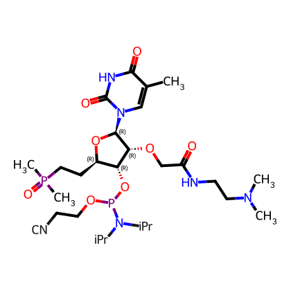 [C-]#[N+]CCOP(O[C@H]1[C@@H](OCC(=O)NCCN(C)C)[C@H](n2cc(C)c(=O)[nH]c2=O)O[C@@H]1CCP(C)(C)=O)N(C(C)C)C(C)C